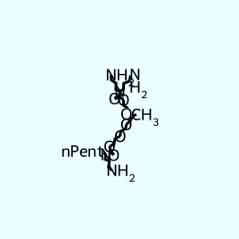 CCCCCN(CCCN)C(=O)OCCOCCOCC(C)OCCOC(=O)N(CCCN)CCCCN